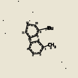 Cc1c[c]ccc1.[CH2]CC(C)c1ccccc1